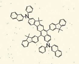 CC1(C)c2ccccc2-c2ccc(-c3c4cc(N(c5ccccc5)c5ccc6ccccc6c5)ccc4c(-c4ccc5c(c4)C(C)(C)c4ccccc4-5)c4cc5c(cc34)-c3ccc(N(c4ccccc4)c4ccc6ccccc6c4)cc3C5(C)C)cc21